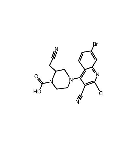 N#CCC1CN(c2c(C#N)c(Cl)nc3cc(Br)ccc23)CCN1C(=O)O